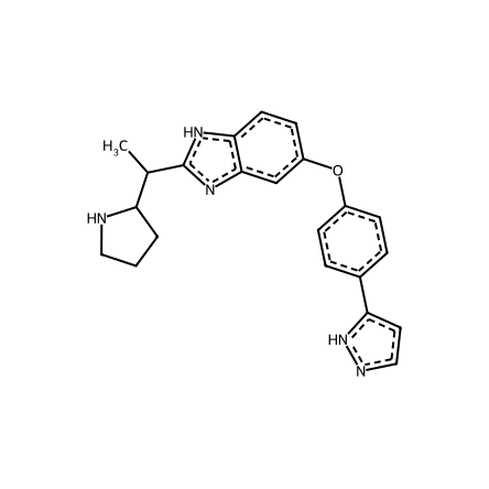 CC(c1nc2cc(Oc3ccc(-c4ccn[nH]4)cc3)ccc2[nH]1)C1CCCN1